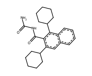 NC(=O)NC(=O)c1c(C2CCCCC2)cc2ccccc2c1C1CCCCC1